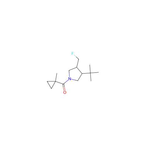 CC1(C(=O)N2CC(CF)C(C(C)(C)C)C2)CC1